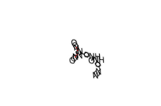 CN1CCN(Cc2ccc(NC(=O)Nc3ccc(-c4nc(N5C6CCC5COC6)cc(N5C6CCC5COC6)n4)cc3)cc2)CC1